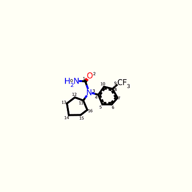 NC(=O)N(c1cccc(C(F)(F)F)c1)C1CCCCC1